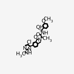 CNc1ncc(Cl)c(-c2ccc3c(c2)C(=O)N([C@H](C)C(=O)N[C@H](CO)c2cccc(OC)c2)C3)n1